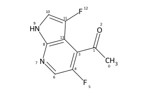 CC(=O)c1c(F)cnc2[nH]cc(F)c12